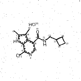 Cc1[nH]c2c(Cl)ncc(C(=O)NCC3CCC3)c2c1C.Cl